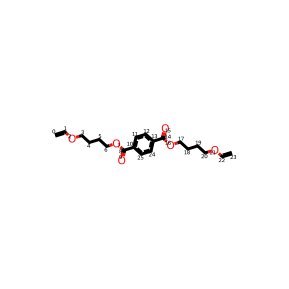 C=COCCCCOC(=O)c1ccc(C(=O)OCCCCOC=C)cc1